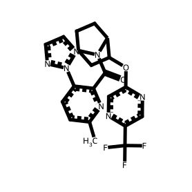 Cc1ccc(-n2nccn2)c(C(=O)N2C3CCC2C(Oc2cnc(C(F)(F)F)cn2)C3)n1